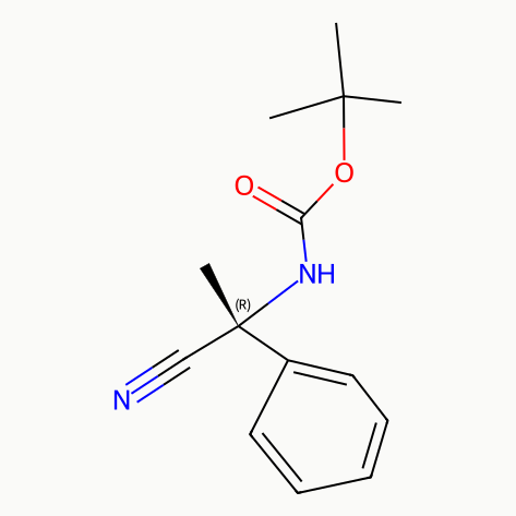 CC(C)(C)OC(=O)N[C@@](C)(C#N)c1ccccc1